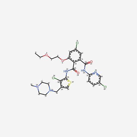 CCOCCOc1cc(Cl)cc(C(=O)Nc2ccc(Cl)cn2)c1C(=O)Nc1scc(CN2CCN(C)CC2)c1Cl